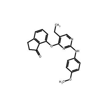 CCc1cnc(Nc2ccc(OC)cc2)nc1Oc1cccc2c1C(=O)CC2